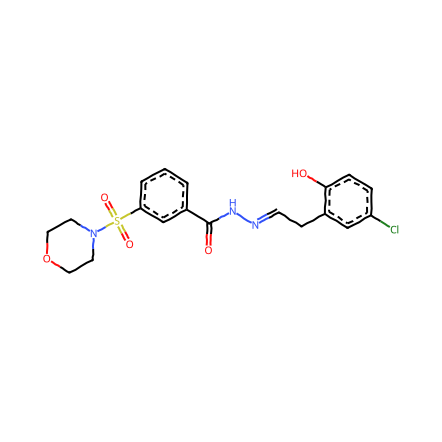 O=C(N/N=C/Cc1cc(Cl)ccc1O)c1cccc(S(=O)(=O)N2CCOCC2)c1